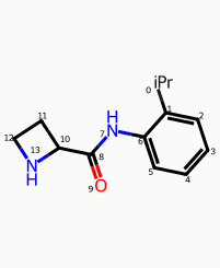 CC(C)c1ccccc1NC(=O)C1CCN1